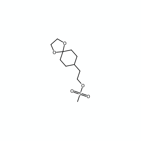 CS(=O)(=O)OCCC1CCC2(CC1)OCCO2